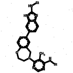 CCNc1nc2ccc(-c3ccc4c(c3)CN(c3ncnc(NCC)c3C)CCO4)cc2[nH]1